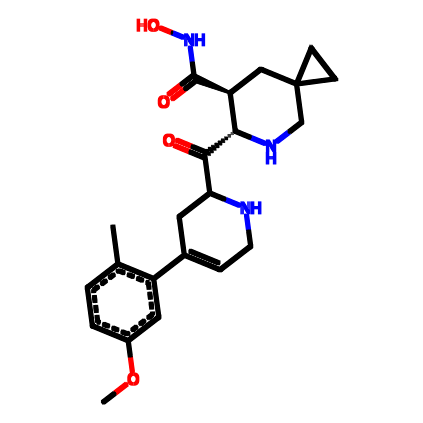 COc1ccc(C)c(C2=CCNC(C(=O)[C@H]3NCC4(CC4)C[C@@H]3C(=O)NO)C2)c1